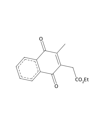 CCOC(=O)CC1=C(C)C(=O)c2ccccc2C1=O